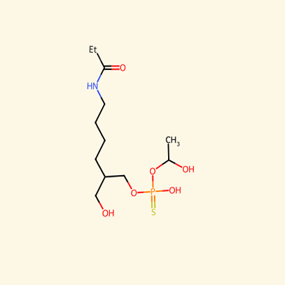 CCC(=O)NCCCCC(CO)COP(O)(=S)OC(C)O